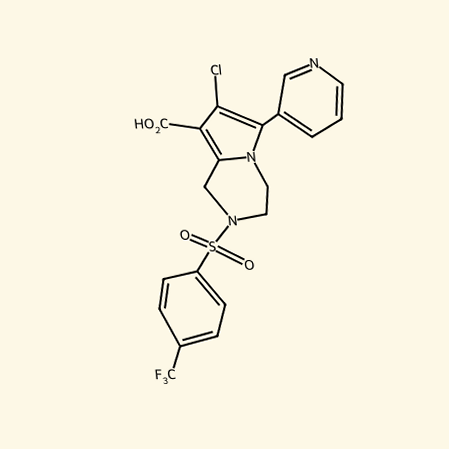 O=C(O)c1c(Cl)c(-c2cccnc2)n2c1CN(S(=O)(=O)c1ccc(C(F)(F)F)cc1)CC2